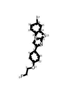 FCCOc1ccc(-c2cn3c(n2)sc2cc(I)ccc23)cc1